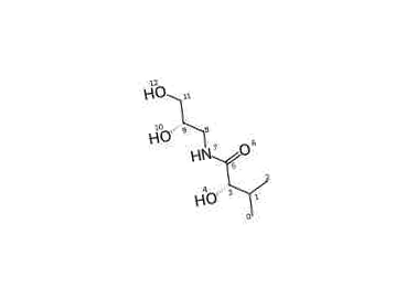 CC(C)[C@H](O)C(=O)NC[C@H](O)CO